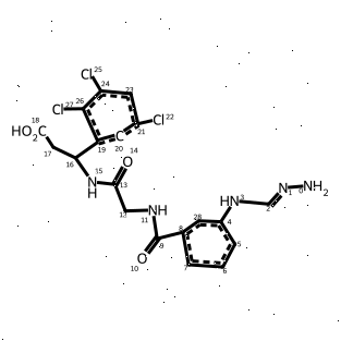 NN=CNc1cccc(C(=O)NCC(=O)NC(CC(=O)O)c2cc(Cl)cc(Cl)c2Cl)c1